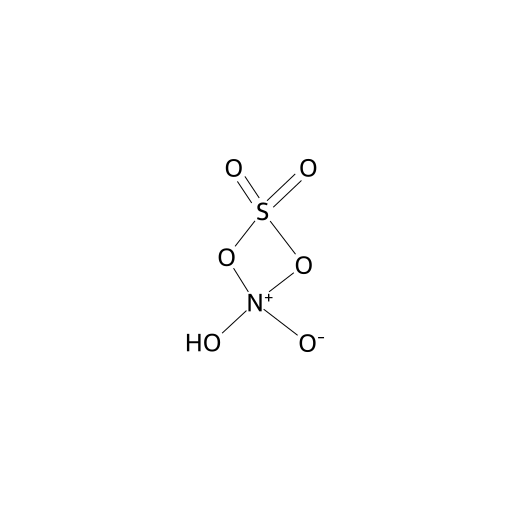 O=S1(=O)O[N+]([O-])(O)O1